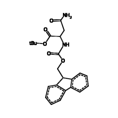 CC(C)(C)OC(=O)C(CC(N)=O)NC(=O)OCC1c2ccccc2-c2ccccc21